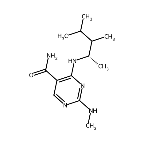 CNc1ncc(C(N)=O)c(N[C@@H](C)C(C)C(C)C)n1